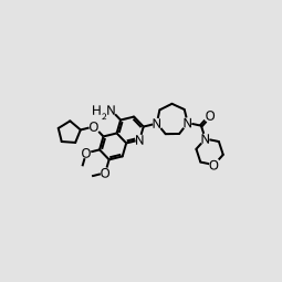 COc1cc2nc(N3CCCN(C(=O)N4CCOCC4)CC3)cc(N)c2c(OC2CCCC2)c1OC